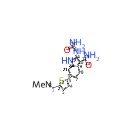 CNCc1ccc(-c2ccc3c(C(N)=O)c(NC(N)=O)[nH]c3c2)s1